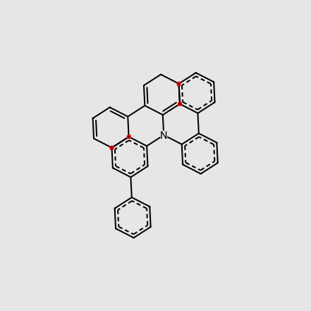 C1=CCCC(C2=CCCC=C2N(c2cccc(-c3ccccc3)c2)c2ccccc2-c2ccccc2)=C1